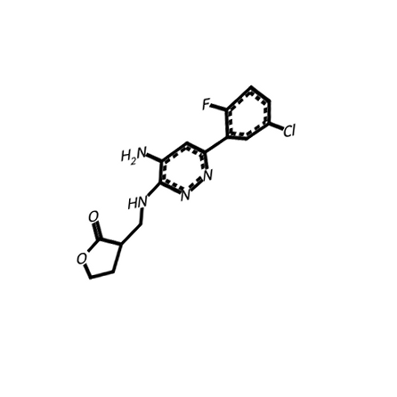 Nc1cc(-c2cc(Cl)ccc2F)nnc1NCC1CCOC1=O